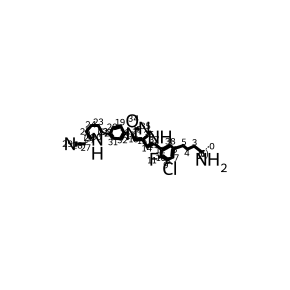 C[C@H](N)CCCc1cc(Cl)c(F)c(-c2cc3cn(-c4ccc([C@@H]5CCC[C@@H](CC#N)N5)cc4)c(=O)nc3[nH]2)c1